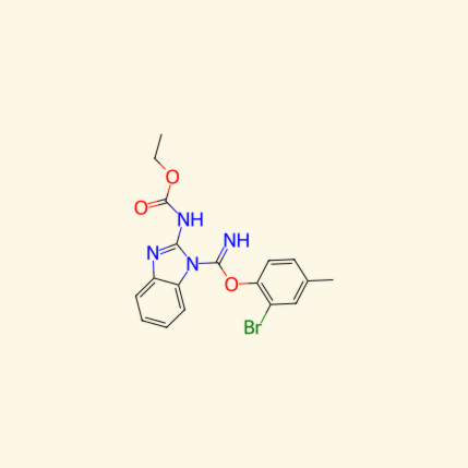 CCOC(=O)Nc1nc2ccccc2n1C(=N)Oc1ccc(C)cc1Br